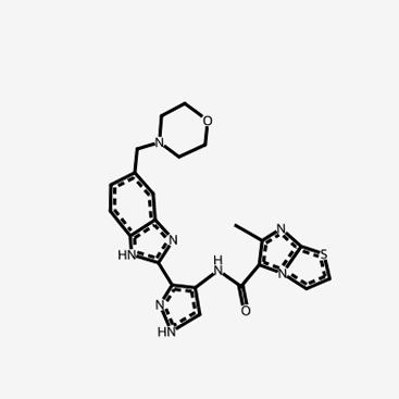 Cc1nc2sccn2c1C(=O)Nc1c[nH]nc1-c1nc2cc(CN3CCOCC3)ccc2[nH]1